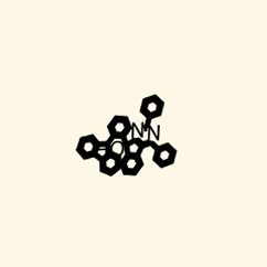 OC1(c2ccccc2C2c3ccccc3-c3ccccc32)c2ccccc2-c2c(-c3ccccc3)nc(-c3ccccc3)nc21